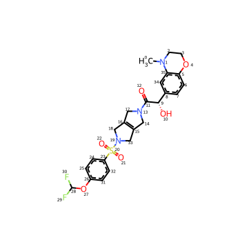 CN1CCOc2ccc([C@H](O)C(=O)N3CC4=C(C3)CN(S(=O)(=O)c3ccc(OC(F)F)cc3)C4)cc21